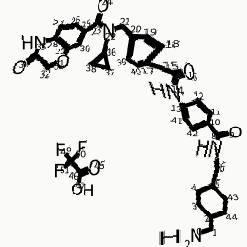 NCC1CCC(CNC(=O)c2ccc(NC(=O)c3ccc(CN(C(=O)c4ccc5c(c4)OCC(=O)N5)C4CC4)cc3)cc2)CC1.O=C(O)C(F)(F)F